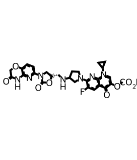 O=C1COc2ccc(N3C[C@H](CNC4CCN(c5nc6c(cc5F)c(=O)c(OC(=O)O)cn6C5CC5)C4)OC3=O)nc2N1